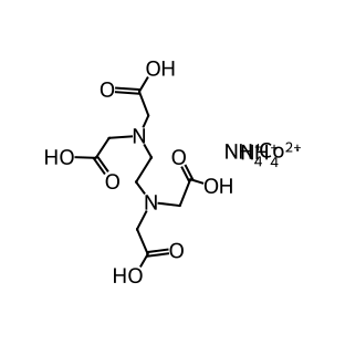 O=C(O)CN(CCN(CC(=O)O)CC(=O)O)CC(=O)O.[Co+2].[NH4+].[NH4+]